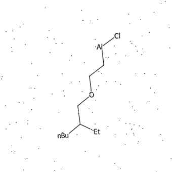 CCCCC(CC)COC[CH2][Al][Cl]